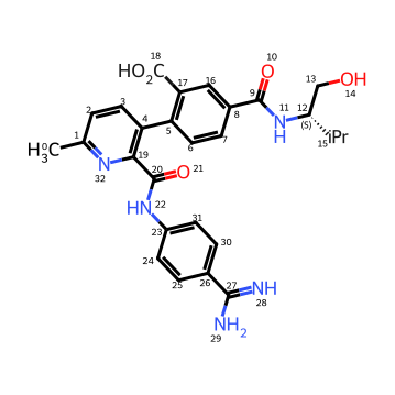 Cc1ccc(-c2ccc(C(=O)N[C@H](CO)C(C)C)cc2C(=O)O)c(C(=O)Nc2ccc(C(=N)N)cc2)n1